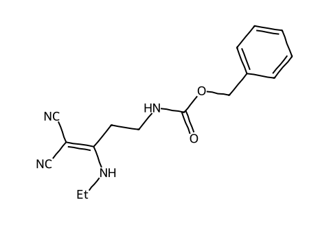 CCNC(CCNC(=O)OCc1ccccc1)=C(C#N)C#N